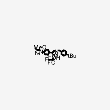 COc1cc(-c2cn(Cc3ccc(C(C)(C)C)cc3)nn2)ccc1-n1cnc(C)c1.O=C(O)C(F)(F)F